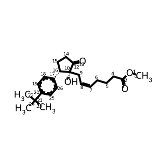 COC(=O)CCC/C=C\C[C@]1(O)C(=O)CC[C@H]1c1ccc(C(C)(C)C)cc1